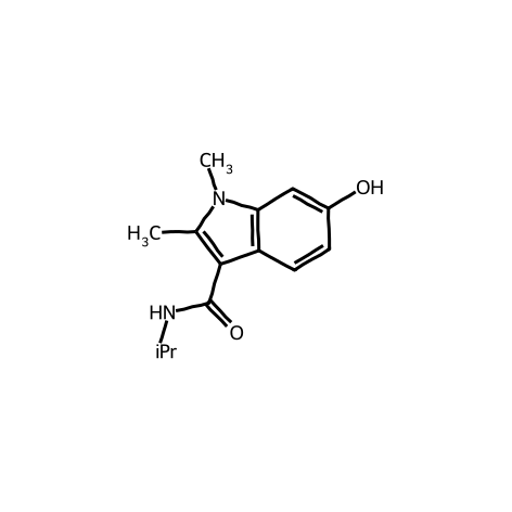 Cc1c(C(=O)NC(C)C)c2ccc(O)cc2n1C